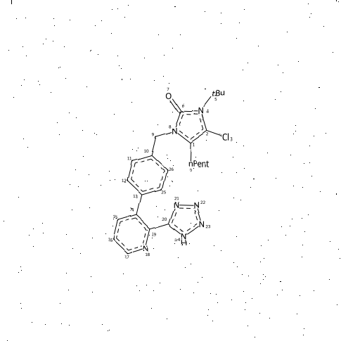 CCCCCc1c(Cl)n(C(C)(C)C)c(=O)n1Cc1ccc(-c2cccnc2-c2nnn[nH]2)cc1